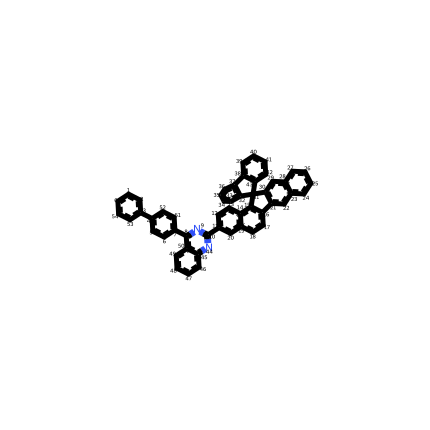 c1ccc(-c2ccc(-c3nc(-c4ccc5c6c(ccc5c4)-c4cc5ccccc5cc4C64c5ccccc5-c5ccccc54)nc4ccccc34)cc2)cc1